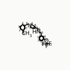 Cc1cccc(CN2CC3C(CNCc4cccc(OC(F)(F)F)c4)C3C2)c1